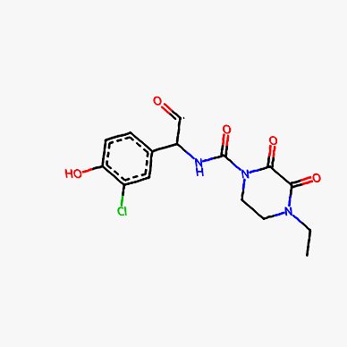 CCN1CCN(C(=O)NC([C]=O)c2ccc(O)c(Cl)c2)C(=O)C1=O